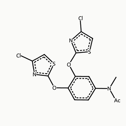 CC(=O)N(C)c1ccc(Oc2nc(Cl)cs2)c(Oc2nc(Cl)cs2)c1